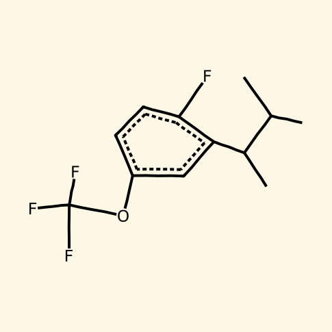 CC(C)C(C)c1cc(OC(F)(F)F)ccc1F